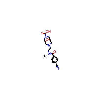 CN(CCN1CC2CN(C(=O)O)CC(C1)O2)C(=O)c1ccc(C#N)cc1